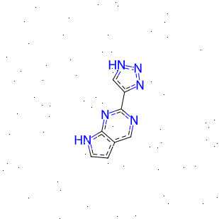 c1cc2cnc(-c3c[nH]nn3)nc2[nH]1